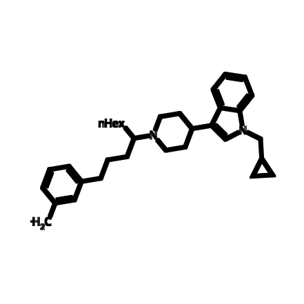 [CH2]c1cccc(CCCC(CCCCCC)N2CCC(c3cn(CC4CC4)c4ccccc34)CC2)c1